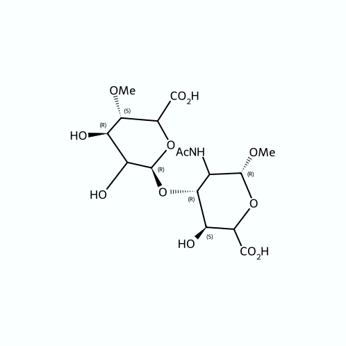 CO[C@@H]1OC(C(=O)O)[C@@H](O)[C@H](O[C@@H]2OC(C(=O)O)[C@@H](OC)[C@H](O)C2O)C1NC(C)=O